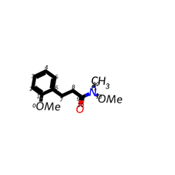 COc1ccccc1CCC(=O)N(C)OC